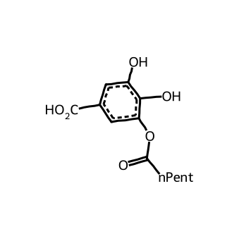 CCCCCC(=O)Oc1cc(C(=O)O)cc(O)c1O